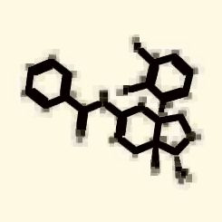 O=C(NC1=NC[C@H]2[C@@H](C(F)(F)F)OC[C@]2(c2cccc(F)c2F)S1)c1ccccc1